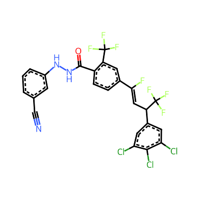 N#Cc1cccc(NNC(=O)c2ccc(C(F)=CC(c3cc(Cl)c(Cl)c(Cl)c3)C(F)(F)F)cc2C(F)(F)F)c1